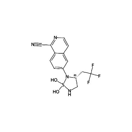 N#Cc1nccc2cc(N3[C@H](CC(F)(F)F)CNS3(O)O)ccc12